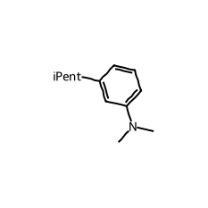 CCCC(C)c1cccc(N(C)C)c1